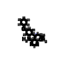 Cc1ncnc(N)c1/C(=C\C1CC1)c1ccc(Oc2ccccc2)cc1